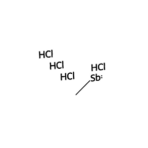 Cl.Cl.Cl.Cl.[CH3][Sb]